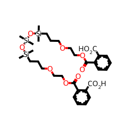 C[Si](C)(CCCOCCOC(=O)c1ccccc1C(=O)O)O[Si](C)(C)O[Si](C)(C)CCCOCCOC(=O)c1ccccc1C(=O)O